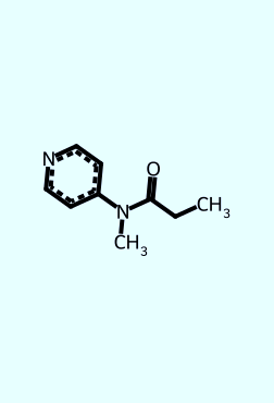 CCC(=O)N(C)c1ccncc1